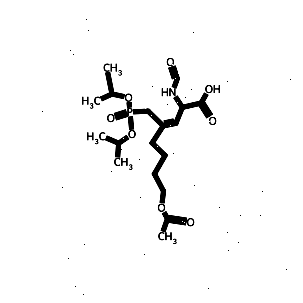 CC(=O)OCCCCC(=CC(NC=O)C(=O)O)CP(=O)(OC(C)C)OC(C)C